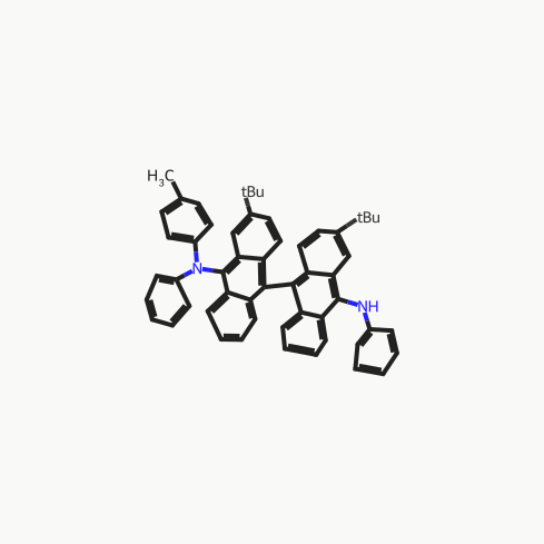 Cc1ccc(N(c2ccccc2)c2c3ccccc3c(-c3c4ccccc4c(Nc4ccccc4)c4cc(C(C)(C)C)ccc34)c3ccc(C(C)(C)C)cc23)cc1